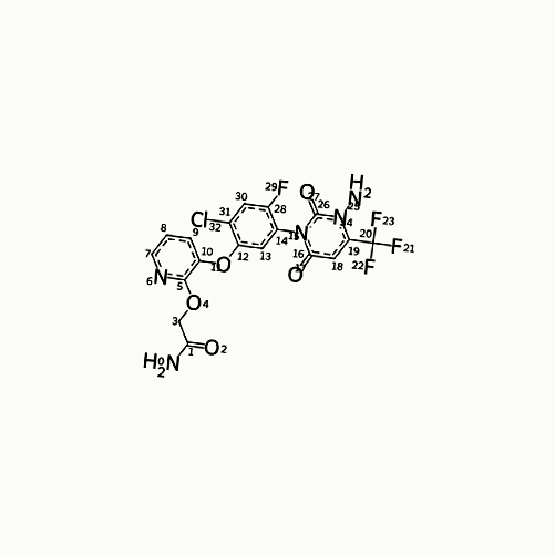 NC(=O)COc1ncccc1Oc1cc(-n2c(=O)cc(C(F)(F)F)n(N)c2=O)c(F)cc1Cl